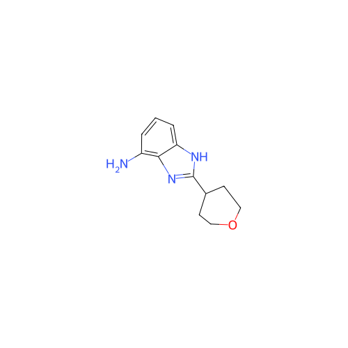 Nc1cccc2[nH]c(C3CCOCC3)nc12